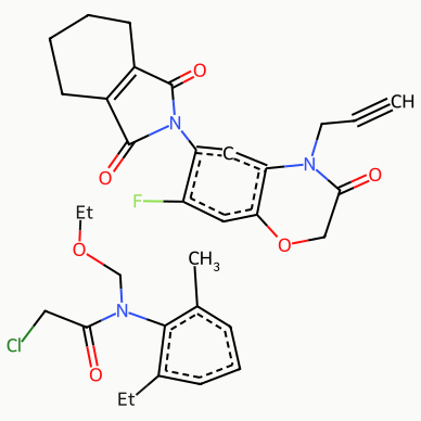 C#CCN1C(=O)COc2cc(F)c(N3C(=O)C4=C(CCCC4)C3=O)cc21.CCOCN(C(=O)CCl)c1c(C)cccc1CC